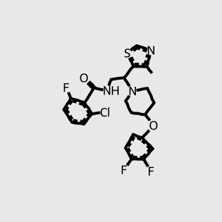 Cc1ncsc1C(CNC(=O)c1c(F)cccc1Cl)N1CCC(Oc2ccc(F)c(F)c2)CC1